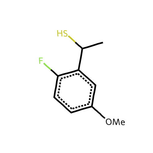 COc1ccc(F)c(C(C)S)c1